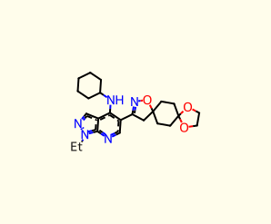 CCn1ncc2c(NC3CCCCC3)c(C3=NOC4(CCC5(CC4)OCCO5)C3)cnc21